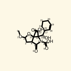 COC1CC2C(=O)N(C(=O)O)C(C(=O)O)([C@@H](O)[C@@H]3C=CCCC3)C2(C)O1